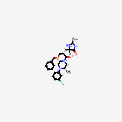 COC1NC(=O)[C@](C)(C[C@@H](COCc2ccccc2)C(=O)N2CCN(c3cccc(F)c3)[C@@H](C)C2)N1